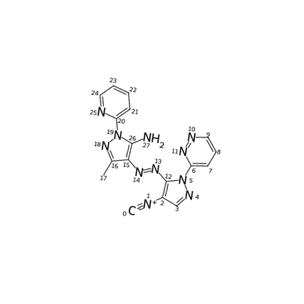 [C-]#[N+]c1cnn(-c2cccnn2)c1/N=N/c1c(C)nn(-c2ccccn2)c1N